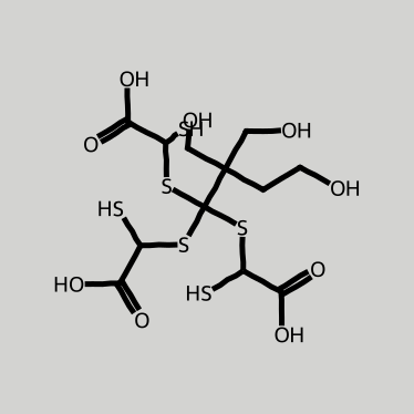 O=C(O)C(S)SC(SC(S)C(=O)O)(SC(S)C(=O)O)C(CO)(CO)CCO